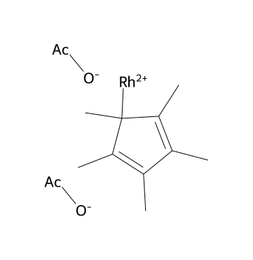 CC(=O)[O-].CC(=O)[O-].CC1=C(C)[C](C)([Rh+2])C(C)=C1C